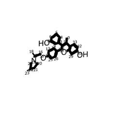 CC1=C(c2cccc(O)c2)C(c2ccc(OC[C@H](C)N3CC[C@@H](C)C3)cc2)Oc2cc(O)ccc21